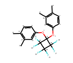 Cc1ccc(OC2(Oc3ccc(C)c(C)c3)C(F)(F)C(F)(F)C2(F)F)cc1C